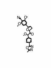 COc1cc(C2=CCC(C(=O)C(OC)c3ccc(-c4nnc(C)o4)cc3)O2)cc(OC)c1C#N